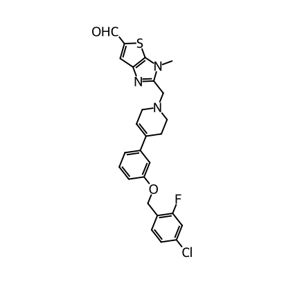 Cn1c(CN2CC=C(c3cccc(OCc4ccc(Cl)cc4F)c3)CC2)nc2cc(C=O)sc21